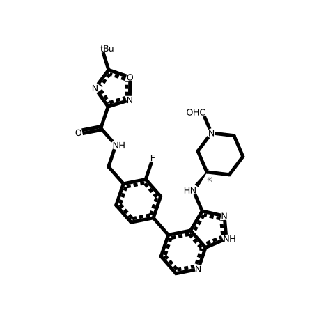 CC(C)(C)c1nc(C(=O)NCc2ccc(-c3ccnc4[nH]nc(N[C@@H]5CCCN(C=O)C5)c34)cc2F)no1